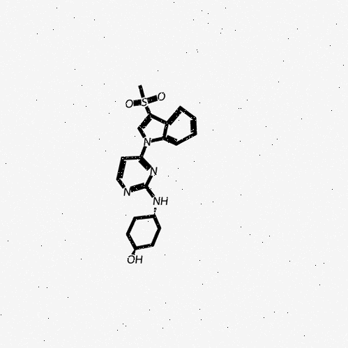 CS(=O)(=O)c1cn(-c2ccnc(N[C@H]3CC[C@H](O)CC3)n2)c2ccccc12